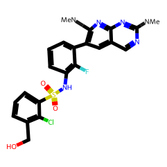 CNc1ncc2cc(-c3cccc(NS(=O)(=O)c4cccc(CO)c4Cl)c3F)c(NC)nc2n1